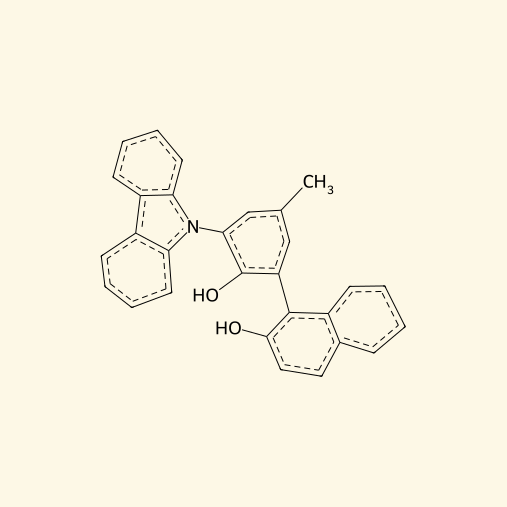 Cc1cc(-c2c(O)ccc3ccccc23)c(O)c(-n2c3ccccc3c3ccccc32)c1